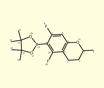 CC1CCc2c(cc(F)c(B3OC(C)(C)C(C)(C)O3)c2F)O1